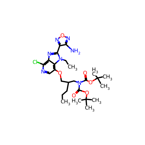 CCCC(COc1cnc(Cl)c2nc(-c3nonc3N)n(CC)c12)CN(C(=O)OC(C)(C)C)C(=O)OC(C)(C)C